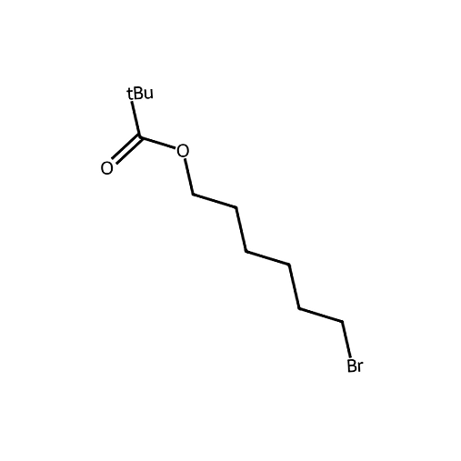 CC(C)(C)C(=O)OCCCCCCBr